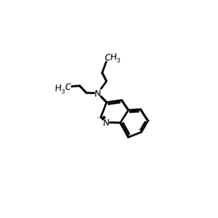 CCCN(CCC)c1[c]nc2ccccc2c1